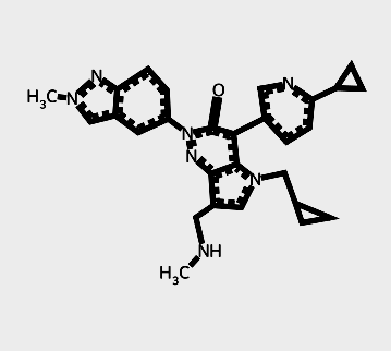 CNCc1cn(CC2CC2)c2c(-c3ccc(C4CC4)nc3)c(=O)n(-c3ccc4nn(C)cc4c3)nc12